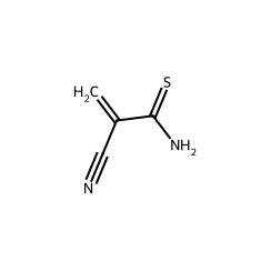 C=C(C#N)C(N)=S